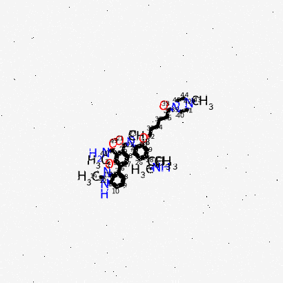 CNC.COc1c(-c2cccc3[nH]c(C)nc23)ccc(C(=O)N(C)c2ccc(C)cc2OCCCCCC(=O)N2CCN(C)CC2)c1C(N)=O